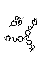 CC(C)(C)Oc1ccc([S+](c2ccc(OCc3ccncc3)cc2)c2ccc(OCc3ccncc3)cc2)cc1.Cc1ccc(S(=O)(=O)[O-])c(C)c1